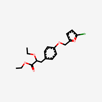 CCOC(=O)C(Cc1ccc(OCc2ccc(Br)o2)cc1)OCC